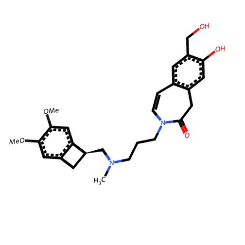 COc1cc2c(cc1OC)[C@@H](CN(C)CCCN1C=Cc3cc(CO)c(O)cc3CC1=O)C2